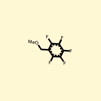 COCc1c(F)c(F)c(F)c(F)c1F